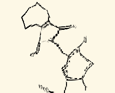 COCc1cc(N2C(=O)C3=C(CCCC3)C2=O)c(Cl)cc1F